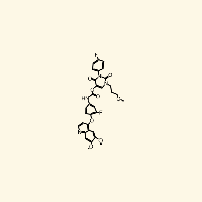 COCCCn1cc(OC(=O)Nc2ccc(Oc3ccnc4cc(OC)c(OC)cc34)c(F)c2)c(=O)n(-c2ccc(F)cc2)c1=O